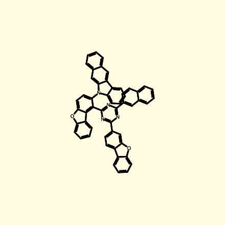 c1ccc2cc(-c3nc(-c4ccc5c(c4)oc4ccccc45)nc(-c4c(-n5c6ccccc6c6cc7ccccc7cc65)ccc5oc6ccccc6c45)n3)ccc2c1